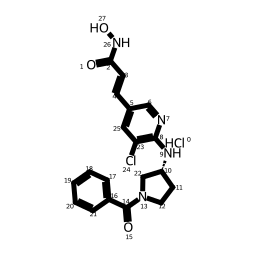 Cl.O=C(C=Cc1cnc(N[C@@H]2CCN(C(=O)c3ccccc3)C2)c(Cl)c1)NO